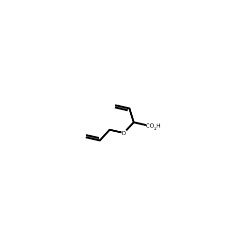 C=CCOC(C=C)C(=O)O